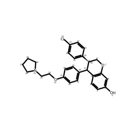 Oc1ccc2c(c1)OC[C@H](c1ccc(Cl)cc1)C2c1ccc(OCCN2CCCC2)cc1